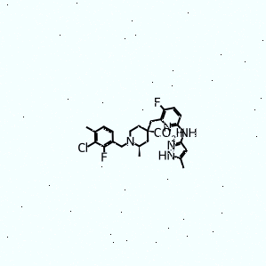 Cc1cc(Nc2ccc(F)c(C[C@@]3(C(=O)O)CCN(Cc4ccc(C)c(Cl)c4F)[C@H](C)C3)n2)n[nH]1